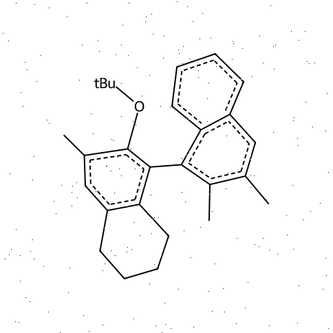 Cc1cc2ccccc2c(-c2c3c(cc(C)c2OC(C)(C)C)CCCC3)c1C